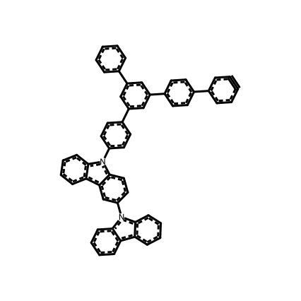 c1ccc(-c2ccc(-c3cc(-c4ccccc4)cc(-c4ccc(-n5c6ccccc6c6cc(-n7c8ccccc8c8ccccc87)ccc65)cc4)c3)cc2)cc#1